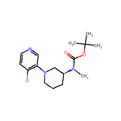 CN(C(=O)OC(C)(C)C)[C@H]1CCCN(c2cnccc2Cl)C1